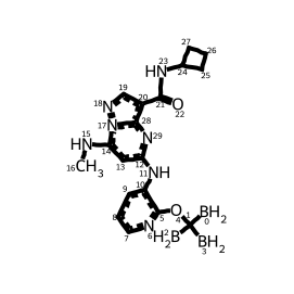 BC(B)(B)Oc1ncccc1Nc1cc(NC)n2ncc(C(=O)NC3CCC3)c2n1